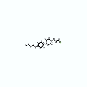 CCCCCc1ccc([C@H]2CC[C@H](CC=CF)CC2)cc1